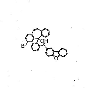 OC1(c2ccccc2Sc2ccc3oc4ccccc4c3c2)c2ccccc2C=Cc2ccc(Br)cc21